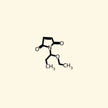 CCOC(CC)N1C(=O)C=CC1=O